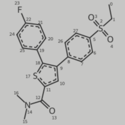 CCS(=O)(=O)c1ccc(-c2cc(C(=O)N(C)C)sc2-c2ccc(F)cc2)cc1